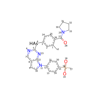 Cc1cc([AsH]c2ncc3ccn(-c4ccc(S(C)(=O)=O)cc4)c3n2)ccc1C(=O)N1CCCC1